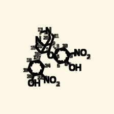 O=C1[C@]2(c3ccc(O)c([N+](=O)[O-])c3)C[N@]3C[N@@](C[C@@]1(c1ccc(O)c([N+](=O)[O-])c1)C3)C2